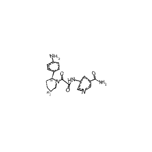 C[C@@H]1CC[C@@H](c2ccc(N)cc2)N(C(=O)C(=O)Nc2cncc(C(N)=O)c2)C1